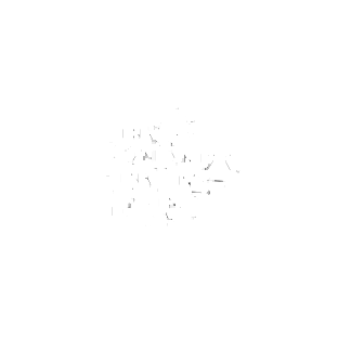 CC(C)C[C@H](NC(=O)[C@H](CC(N)=O)NC(=O)[C@@H](NC(=O)O[C@H]1CCOC1)C(C)C)[C@@H](O)C[C@@H](C)C(=O)N[C@@H](C)C(=O)NCc1ccccc1